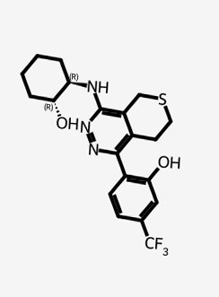 Oc1cc(C(F)(F)F)ccc1-c1nnc(N[C@@H]2CCCC[C@H]2O)c2c1CCSC2